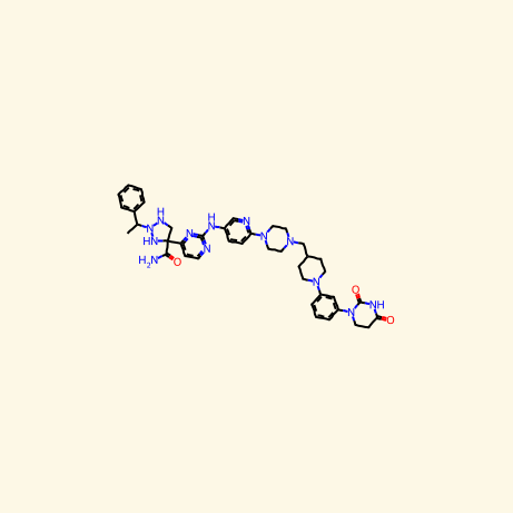 CC(c1ccccc1)N1NCC(C(N)=O)(c2ccnc(Nc3ccc(N4CCN(CC5CCN(c6cccc(N7CCC(=O)NC7=O)c6)CC5)CC4)nc3)n2)N1